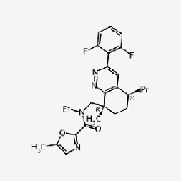 CCN(C[C@@]1(C)CC[C@H](C(C)C)c2cc(-c3c(F)cccc3F)nnc21)C(=O)c1ncc(C)o1